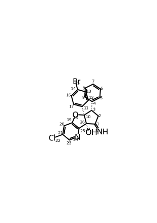 N=C1C[C@@H](c2ccccc2)[C@]2(c3ccc(Br)cc3)Oc3cc(Cl)cnc3[C@]12O